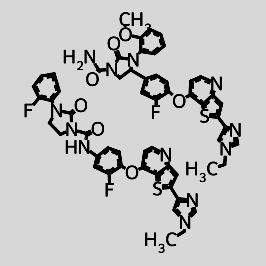 CCn1cnc(-c2cc3nccc(Oc4ccc(C5CN(C(N)=O)C(=O)N5c5ccccc5OC)cc4F)c3s2)c1.CCn1cnc(-c2cc3nccc(Oc4ccc(NC(=O)N5CCN(c6ccccc6F)C5=O)cc4F)c3s2)c1